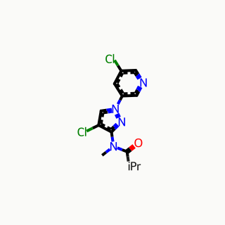 CC(C)C(=O)N(C)c1nn(-c2cncc(Cl)c2)cc1Cl